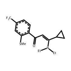 CCN(CC)/C(=C\C(=O)c1ccc(C(F)(F)F)cc1SC)C1CC1